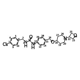 O=C(NCc1ccc(Cl)cc1)Nc1ccc(COC2CCN(C3COC3)CC2)cc1